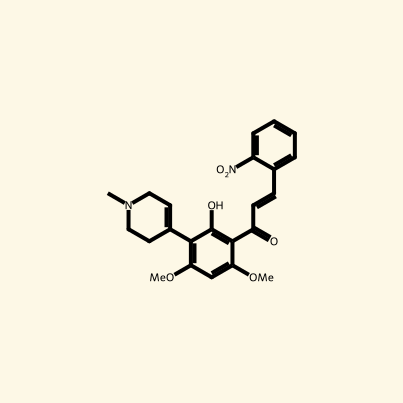 COc1cc(OC)c(C2=CCN(C)CC2)c(O)c1C(=O)/C=C/c1ccccc1[N+](=O)[O-]